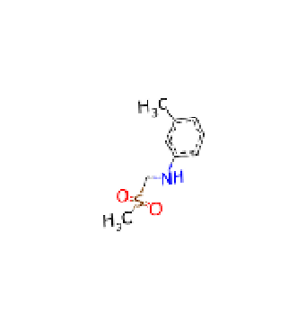 Cc1cccc(NCS(C)(=O)=O)c1